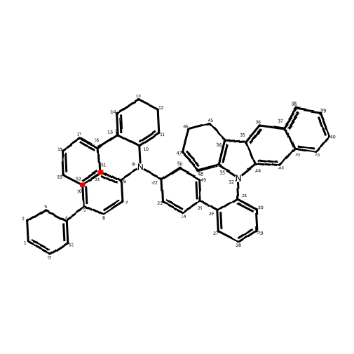 C1=CCCC(c2ccc(N(C3=CCCC=C3c3ccccc3)C3C=CC(c4ccccc4-n4c5c(c6cc7ccccc7cc64)CCC=C5)=CC3)cc2)=C1